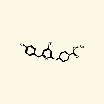 CC(C)(C)OC(=O)N1CCC(Oc2cc(C(F)(F)F)cc(Cc3ccc(Cl)cc3)n2)CC1